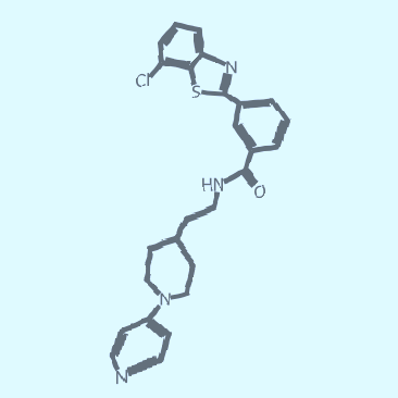 O=C(NCCC1CCN(c2ccncc2)CC1)c1cccc(-c2nc3cccc(Cl)c3s2)c1